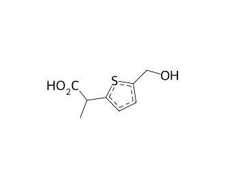 CC(C(=O)O)c1ccc(CO)s1